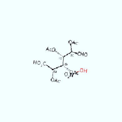 CC(=O)O[C@@H]([C@H](OC(C)=O)[C@H](OC(C)=O)C(=O)O)[C@H](C=O)OC(C)=O.O=[N+]([O-])O